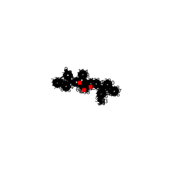 Cc1ccc(N(c2ccc3c4c(c5ccccc5c3c2)-c2cc3ccc(N(c5ccc([Si](C)(C)C)cc5)c5cccc6c5oc5ccccc56)cc3cc2C4([Si](C)(C)C)[Si](C)(C)C)c2cccc3c2oc2ccccc23)cc1